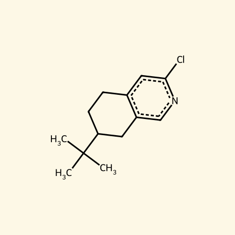 CC(C)(C)C1CCc2cc(Cl)ncc2C1